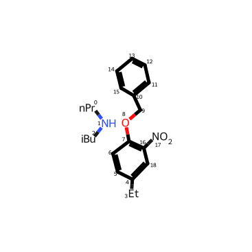 CCCNC(C)CC.CCc1ccc(OCc2ccccc2)c([N+](=O)[O-])c1